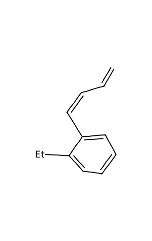 C=C/C=C\c1ccccc1CC